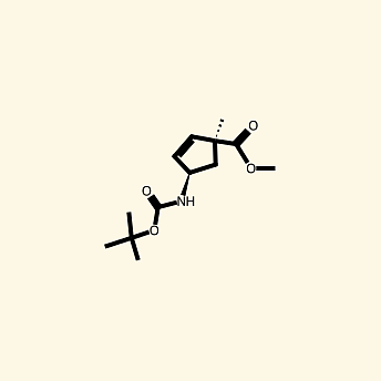 COC(=O)[C@]1(C)C=C[C@H](NC(=O)OC(C)(C)C)C1